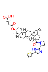 CC(C)(CC(=O)O[C@H]1CC[C@]2(C)[C@H]3CC[C@@H]4[C@H]5C(C6(C)CC6)CC[C@]5(C(=O)N5CCC[C@H]5c5ncc(-c6cccs6)[nH]5)CC[C@@]4(C)[C@]3(C)CC[C@H]2C1(C)C)C(=O)O